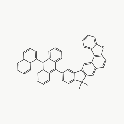 CC1(C)c2ccc(-c3c4ccccc4c(C4=CC=CC5C=CC=CC45)c4ccccc34)cc2-c2cc3c(ccc4sc5ccccc5c43)cc21